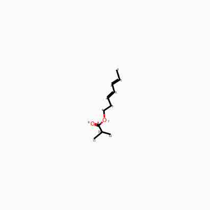 CC=CC=CCCOC(=O)C(C)C